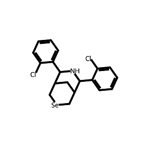 Clc1ccccc1C1NC(c2ccccc2Cl)C2C[Se]CC1C2